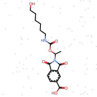 CC(OC(=O)NCCCCCCO)N1C(=O)c2ccc(C(=O)O)cc2C1=O